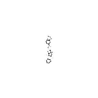 O=C1CCc2cc([C@@H](O)CN3C[C@@H]4C[C@@H](Oc5ccccc5)[C@@H](O)[C@]4(O)C3)ccc2N1